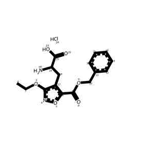 CCOc1noc(C(=O)OCc2ccccc2)c1CC(N)C(=O)O.Cl